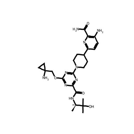 C[C@@H](NC(=O)c1nc(OCC2(N)CC2)nc(N2CCC(c3ccc(N)c(C(N)=O)n3)CC2)n1)C(C)(C)O